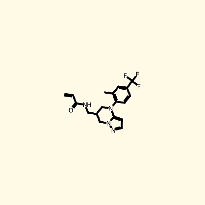 C=CC(=O)NCC1CN(c2ccc(C(F)(F)F)cc2C)c2ccnn2C1